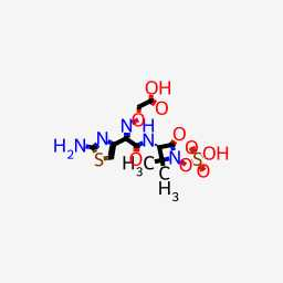 CC1(C)[C@H](NC(=O)C(=NOCC(=O)O)c2csc(N)n2)C(=O)N1OS(=O)(=O)O